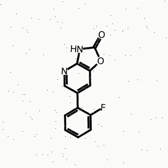 O=c1[nH]c2ncc(-c3ccccc3F)cc2o1